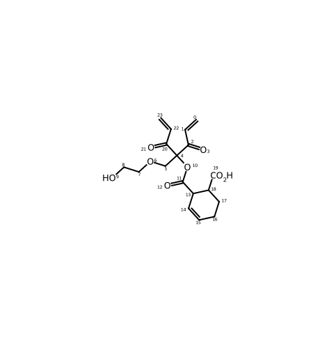 C=CC(=O)C(COCCO)(OC(=O)C1C=CCCC1C(=O)O)C(=O)C=C